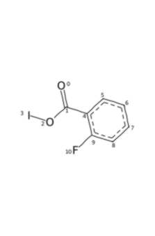 O=C(OI)c1ccccc1F